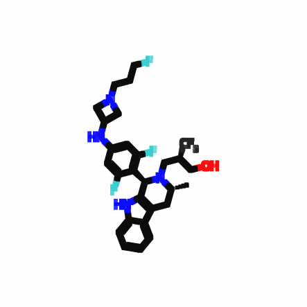 C[C@@H]1Cc2c([nH]c3ccccc23)[C@@H](c2c(F)cc(NC3CN(CCCF)C3)cc2F)N1C[C@H](CO)C(F)(F)F